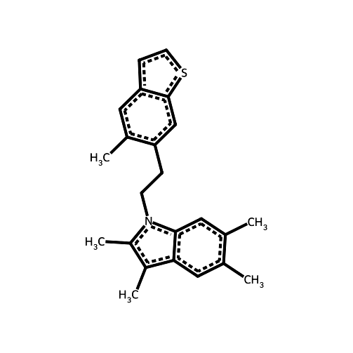 Cc1cc2c(C)c(C)n(CCc3cc4sccc4cc3C)c2cc1C